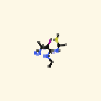 C=C(/N=C(NCC)\C(I)=C(\C)N)SC